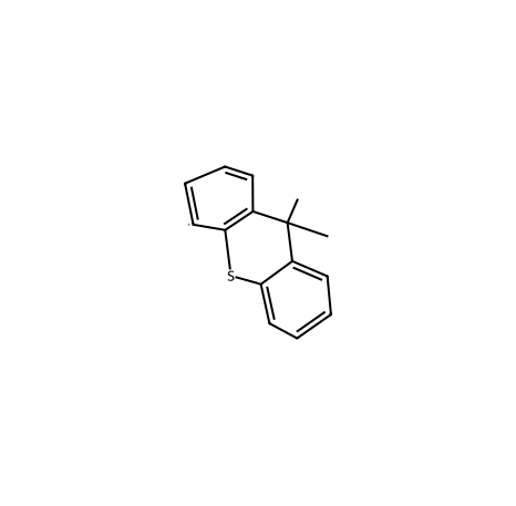 CC1(C)c2ccc[c]c2Sc2ccccc21